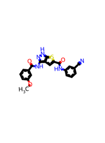 COc1cccc(C(=O)Nc2n[nH]c3sc(C(=O)Nc4cccc(C#N)c4)cc23)c1